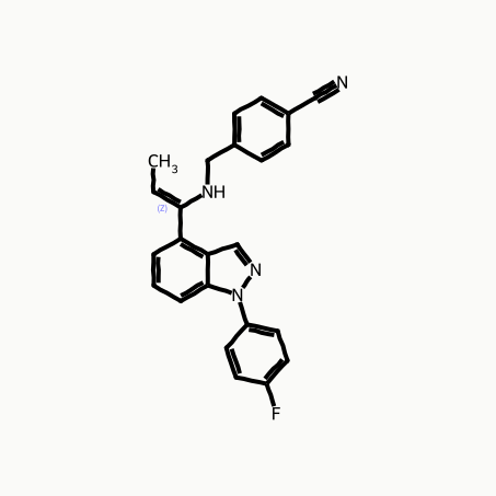 C/C=C(\NCc1ccc(C#N)cc1)c1cccc2c1cnn2-c1ccc(F)cc1